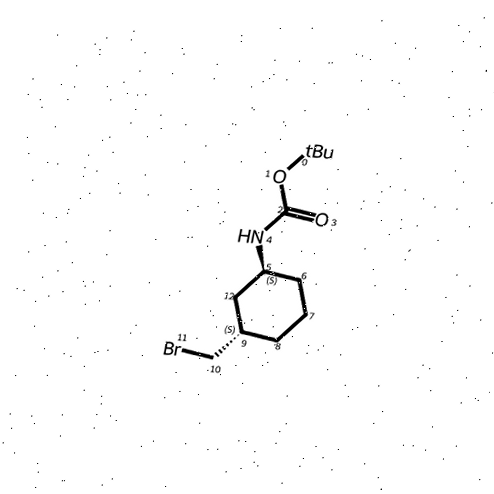 CC(C)(C)OC(=O)N[C@H]1CCC[C@H](CBr)C1